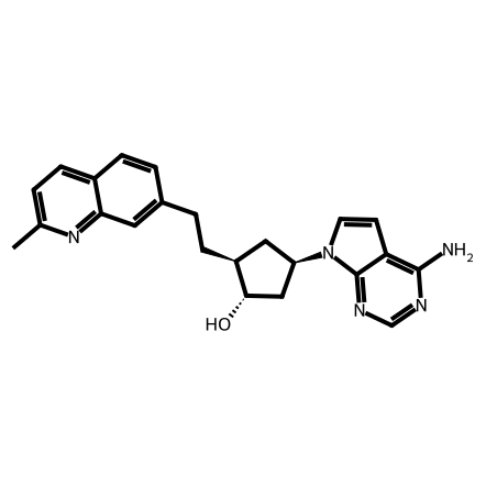 Cc1ccc2ccc(CC[C@H]3C[C@@H](n4ccc5c(N)ncnc54)C[C@@H]3O)cc2n1